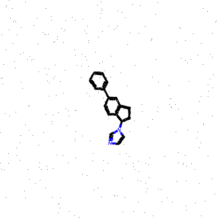 c1ccc(-c2ccc3c(c2)CCC3n2ccnc2)cc1